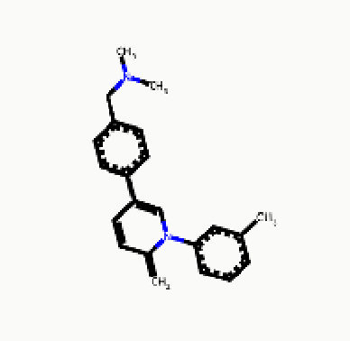 C=C1C=CC(c2ccc(CN(C)C)cc2)=CN1c1cccc(C)c1